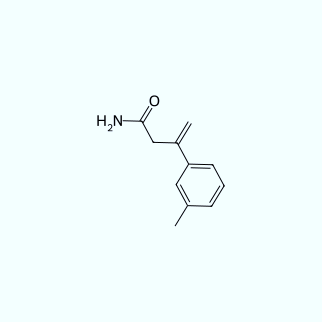 C=C(CC(N)=O)c1cccc(C)c1